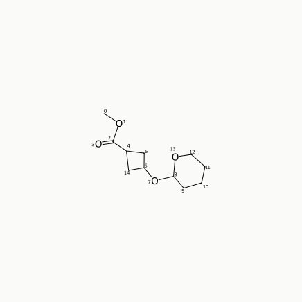 COC(=O)C1CC(OC2CCCCO2)C1